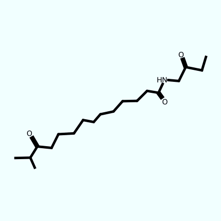 CCC(=O)CNC(=O)CCCCCCCCCCC(=O)C(C)C